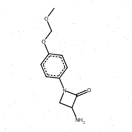 COCOc1ccc(N2CC(N)C2=O)cc1